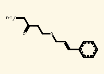 CCOC(=O)CC(=O)CCOC/C=C/c1ccccc1